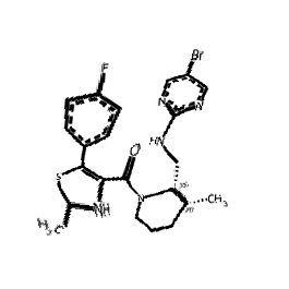 CC1NC(C(=O)N2CCC[C@@H](C)[C@H]2CNc2ncc(Br)cn2)=C(c2ccc(F)cc2)S1